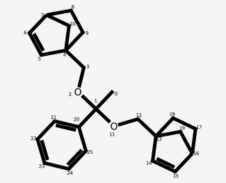 CC(OCC12C=CC(CC1)C2)(OCC12C=CC(CC1)C2)c1ccccc1